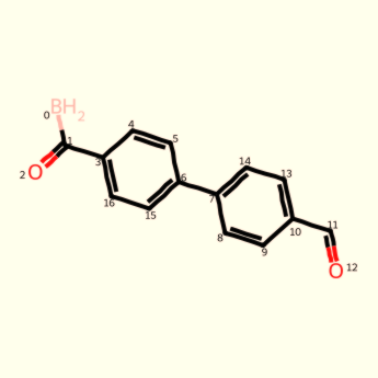 BC(=O)c1ccc(-c2ccc(C=O)cc2)cc1